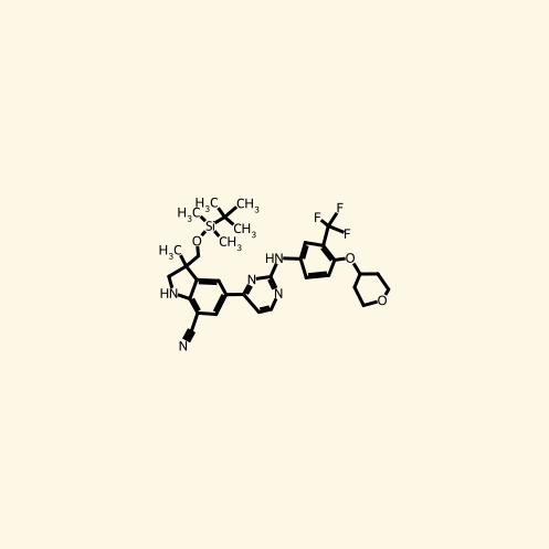 CC1(CO[Si](C)(C)C(C)(C)C)CNc2c(C#N)cc(-c3ccnc(Nc4ccc(OC5CCOCC5)c(C(F)(F)F)c4)n3)cc21